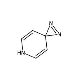 C1=CC2(C=CN1)N=N2